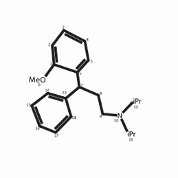 COc1ccccc1C(CCN(C(C)C)C(C)C)c1ccccc1